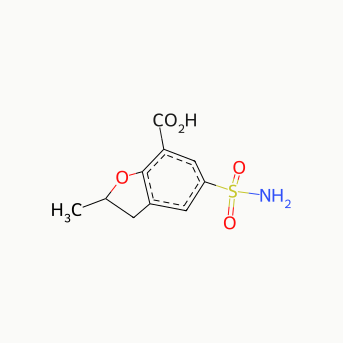 CC1Cc2cc(S(N)(=O)=O)cc(C(=O)O)c2O1